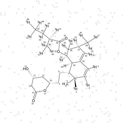 [3H]C1=C([3H])[C@]([3H])(C)[C@H](CC[C@H]2C[C@@H](O)CC(=O)O2)[C@@H]2C1=C([3H])[C@]([3H])(C([3H])([3H])[3H])C([3H])([3H])[C@]2([3H])OC(=O)[C@@]([3H])(C([3H])([3H])[3H])C([3H])([3H])C([3H])([3H])[3H]